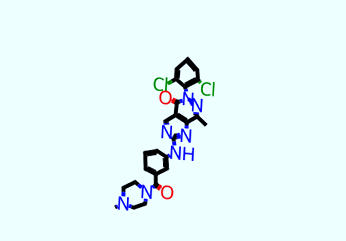 Cc1nn(-c2c(Cl)cccc2Cl)c(=O)c2cnc(Nc3cccc(C(=O)N4CCN(C)CC4)c3)nc12